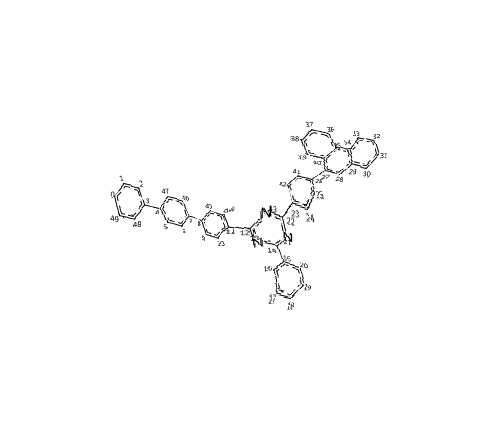 c1ccc(-c2ccc(-c3ccc(-c4nc(-c5ccccc5)nc(-c5ccc(-c6cc7ccccc7c7ccccc67)cc5)n4)cc3)cc2)cc1